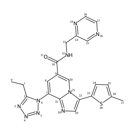 CCc1nnnn1-c1cc(C(=O)NCc2cnccn2)cn2c(-c3ccc(C)s3)cnc12